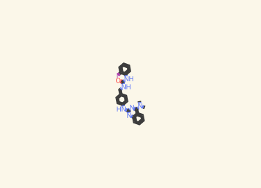 CN(C)c1nc(NC2CCC(CNC(=O)Nc3ccccc3I)CC2)nc2ccccc12